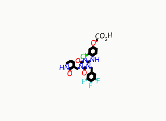 O=C(O)COc1ccc(Nc2nc(=O)n(Cc3ccc[nH]c3=O)c(=O)n2Cc2cc(F)c(F)c(F)c2)c(Cl)c1